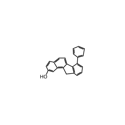 Oc1ccc2ccc3c(c2c1)Cc1cccc(-c2ccccc2)c1-3